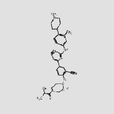 Cc1cc(Nc2ncnc(-c3ccc(O[C@H]4CCN(C(=O)C(C)O)C[C@H]4F)c(C#N)c3)n2)ccc1C1CCN(C)CC1